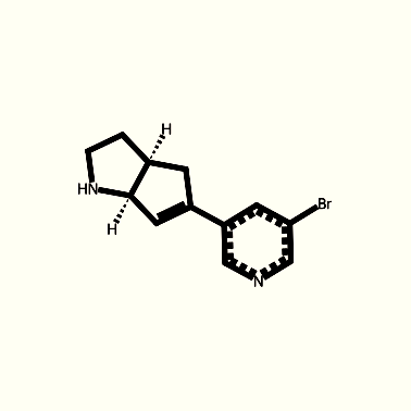 Brc1cncc(C2=C[C@H]3NCC[C@H]3C2)c1